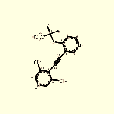 CC(C)(Sc1ccncc1C#Cc1c(Cl)cncc1Cl)C(=O)O